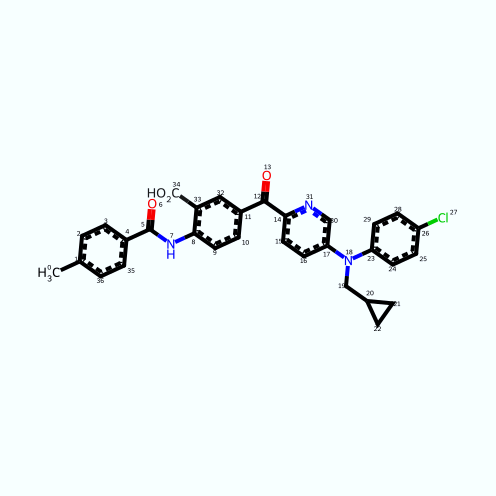 Cc1ccc(C(=O)Nc2ccc(C(=O)c3ccc(N(CC4CC4)c4ccc(Cl)cc4)cn3)cc2C(=O)O)cc1